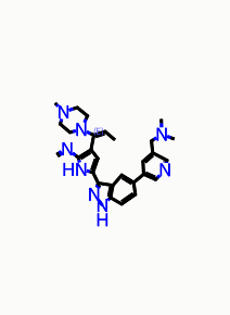 C=Nc1[nH]c(-c2n[nH]c3ccc(-c4cncc(CN(C)C)c4)cc23)cc1/C(=C\C)N1CCN(C)CC1